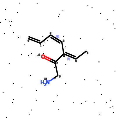 C=C/C=C\C(=C/C)C(=O)CN